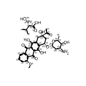 CC(C)[C@H](N)C(=O)O.COc1cccc2c1C(=O)c1c(O)c3c(c(O)c1C2=O)C[C@@](O)(C(C)=O)C[C@@H]3O[C@H]1C[C@H](N)[C@H](O)[C@H](C)O1.Cl